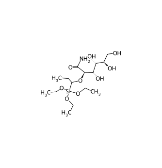 CCO[Si](OCC)(OCC)C(CC)O[C@@H](C(N)=O)[C@@H](O)[C@H](O)[C@H](O)CO